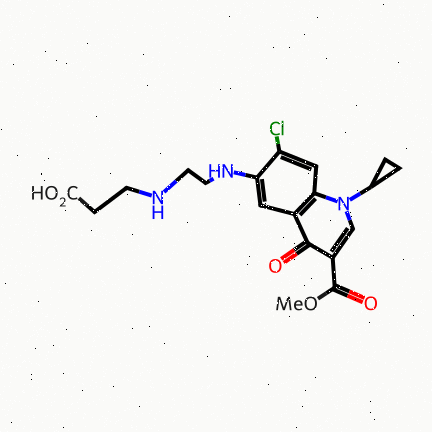 COC(=O)c1cn(C2CC2)c2cc(Cl)c(NCCNCCC(=O)O)cc2c1=O